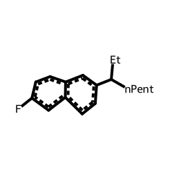 [CH2]CCCCC(CC)c1ccc2cc(F)ccc2c1